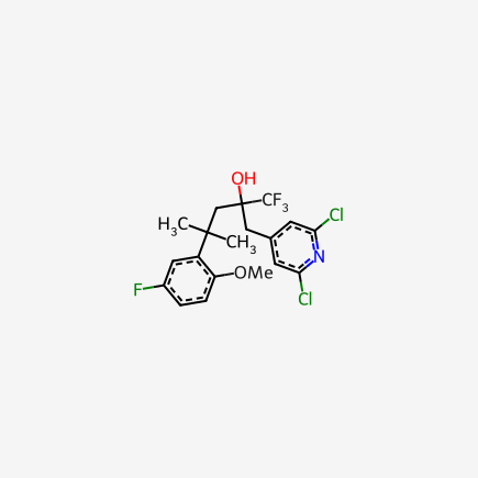 COc1ccc(F)cc1C(C)(C)CC(O)(Cc1cc(Cl)nc(Cl)c1)C(F)(F)F